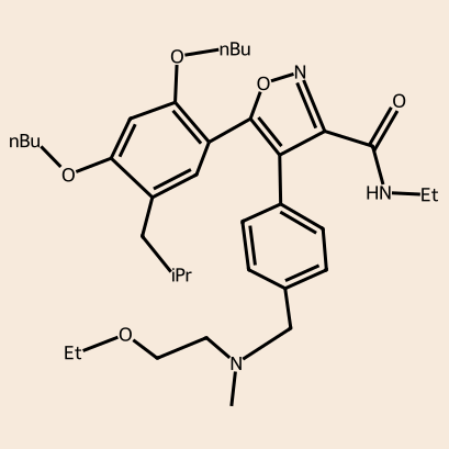 CCCCOc1cc(OCCCC)c(-c2onc(C(=O)NCC)c2-c2ccc(CN(C)CCOCC)cc2)cc1CC(C)C